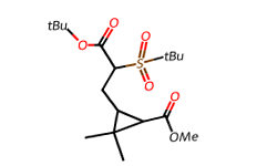 COC(=O)C1C(CC(C(=O)OC(C)(C)C)S(=O)(=O)C(C)(C)C)C1(C)C